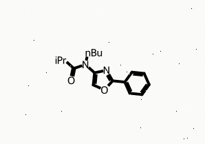 CCCCN(C(=O)C(C)C)c1coc(-c2ccccc2)n1